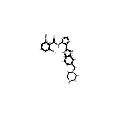 O=C(Nc1scnc1-c1nc2ccc(CN3CCOCC3)cc2[nH]1)c1c(F)cccc1F